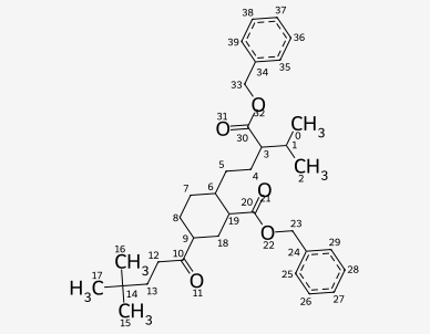 CC(C)C(CCC1CCC(C(=O)CCC(C)(C)C)CC1C(=O)OCc1ccccc1)C(=O)OCc1ccccc1